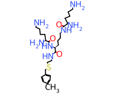 Cc1ccc(CSCCNC(=O)[C@H](CCCCNC(=O)[C@@H](N)CCCCN)NC(=O)[C@@H](N)CCCCN)cc1